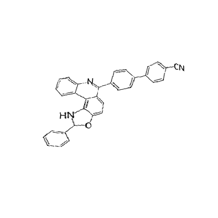 N#Cc1ccc(-c2ccc(-c3nc4ccccc4c4c5c(ccc34)OC(c3ccccc3)N5)cc2)cc1